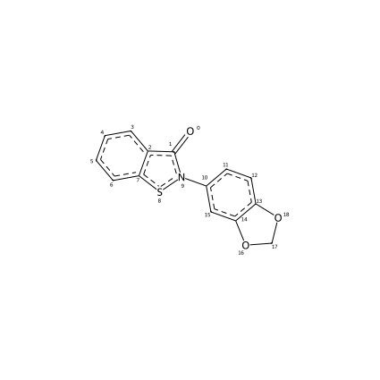 O=c1c2ccccc2sn1-c1ccc2c(c1)OCO2